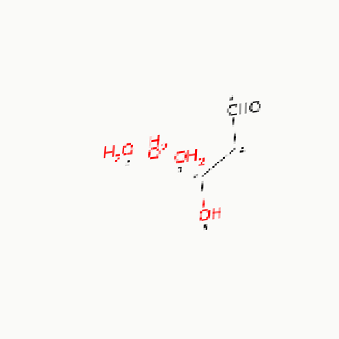 O.O.O.O=CCCO